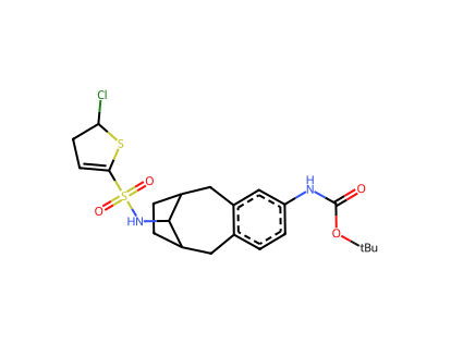 CC(C)(C)OC(=O)Nc1ccc2c(c1)CC1CCC(C2)C1NS(=O)(=O)C1=CCC(Cl)S1